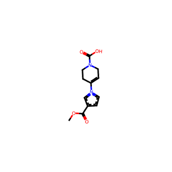 COC(=O)c1ccn(C2=CCN(C(=O)O)CC2)c1